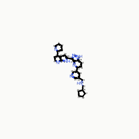 c1ccc(-c2ccnc3[nH]c(-c4n[nH]c5ccc(-c6cncc(CNCC7CCCC7)c6)nc45)cc23)nc1